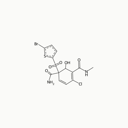 CNC(=O)C1=C(Cl)C=CC(C(N)=O)(S(=O)(=O)c2ccc(Br)s2)C1O